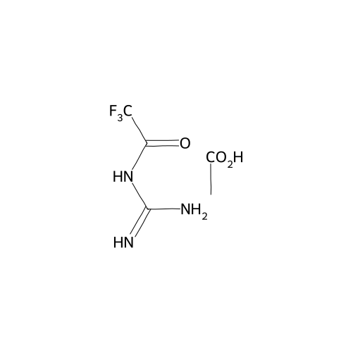 CC(=O)O.N=C(N)NC(=O)C(F)(F)F